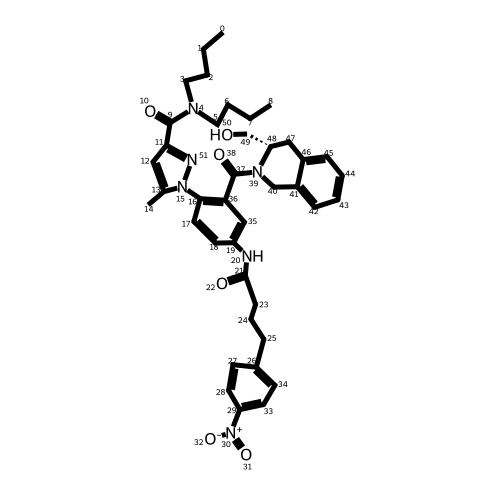 CCCCN(CCCC)C(=O)c1cc(C)n(-c2ccc(NC(=O)CCCc3ccc([N+](=O)[O-])cc3)cc2C(=O)N2Cc3ccccc3C[C@H]2CO)n1